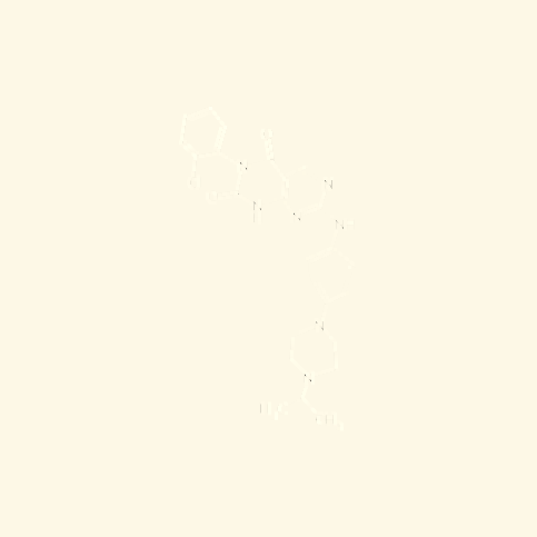 CC(C)N1CCN(c2ccc(Nc3ncc4c(=O)n(-c5ccccc5Cl)c(=O)[nH]c4n3)cc2)CC1